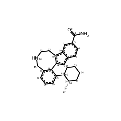 NC(=O)c1ccc2cc3n(c2c1)CCNCc1cccc([C@H]2CCCC[C@@H]2F)c1-3